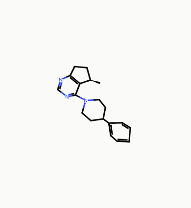 C[C@@H]1CCc2ncnc(N3CCC(c4ccccc4)CC3)c21